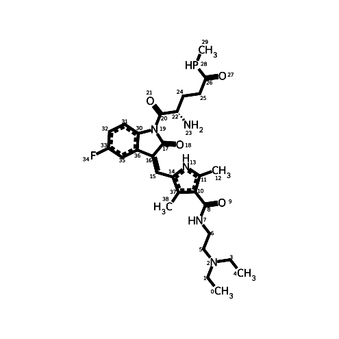 CCN(CC)CCNC(=O)c1c(C)[nH]c(/C=C2\C(=O)N(C(=O)[C@@H](N)CCC(=O)PC)c3ccc(F)cc32)c1C